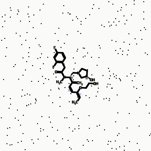 C=C(/C=C\C(=C/C)OCCO)[C@@H](CN1CC[C@H](O)C1)N(C)C(=O)Cc1ccc(F)cc1F